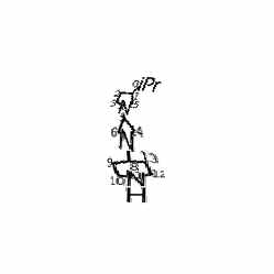 CC(C)C1CCN(C2CN(C3CCNCC3)C2)C1